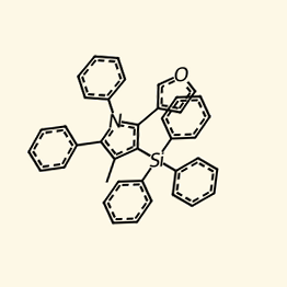 Cc1c([Si](c2ccccc2)(c2ccccc2)c2ccccc2)c(-c2ccoc2)n(-c2ccccc2)c1-c1ccccc1